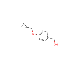 OCc1ccc(OCC2CC2)cc1